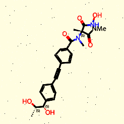 CNC(=O)[C@@](C)(C(=O)NO)N(C)C(=O)c1ccc(C#Cc2ccc([C@H](O)[C@H](C)O)cc2)cc1